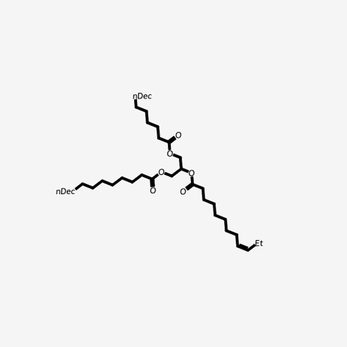 CC/C=C\CCCCCCCC(=O)OC(COC(=O)CCCCCCCCCCCCCCC)COC(=O)CCCCCCCCCCCCCCCCC